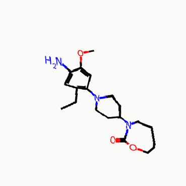 CCc1cc(N)c(OC)cc1N1CCC(N2CCCCOC2=O)CC1